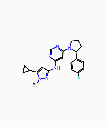 CCn1nc(Nc2cc(N3CCCC3c3ccc(F)cc3)ncn2)cc1C1CC1